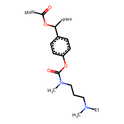 CCCCCCC(OC(=O)NC)c1ccc(OC(=O)N(C)CCCN(C)CC)cc1